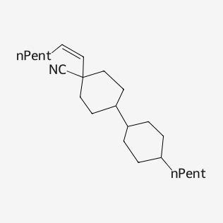 CCCCC/C=C\C1(C#N)CCC(C2CCC(CCCCC)CC2)CC1